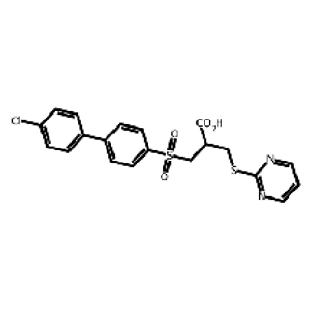 O=C(O)C(CSc1ncccn1)CS(=O)(=O)c1ccc(-c2ccc(Cl)cc2)cc1